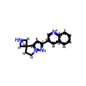 c1ccc2ncc(-c3cc4n(n3)CCC43CNC3)cc2c1